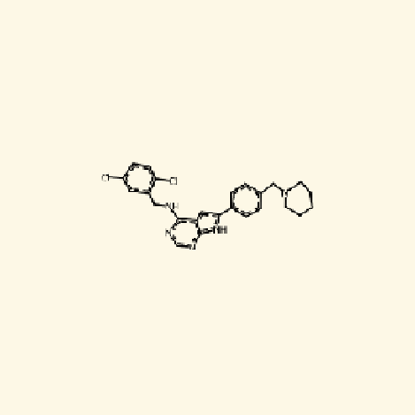 Clc1ccc(Cl)c(CNc2ncnc3[nH]c(-c4ccc(CN5CCCCC5)cc4)cc23)c1